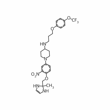 CC1(COc2ccc(N3CCC(NCCCOc4ccc(OC(F)(F)F)cc4)CC3)cc2[N+](=O)[O-])NC=CN1